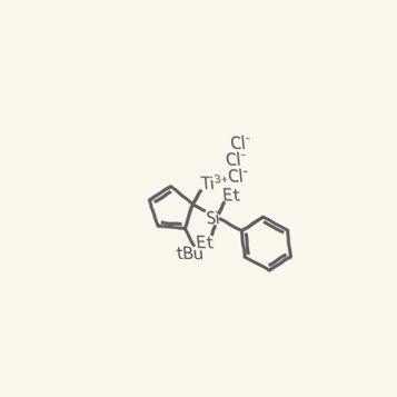 CC[Si](CC)(c1ccccc1)[C]1([Ti+3])C=CC=C1C(C)(C)C.[Cl-].[Cl-].[Cl-]